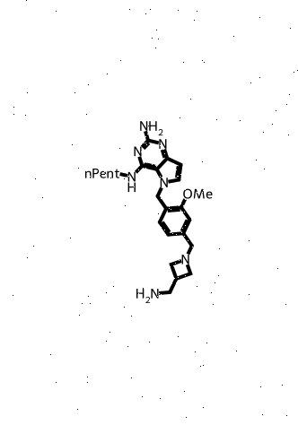 CCCCCNc1nc(N)nc2ccn(Cc3ccc(CN4CC(CN)C4)cc3OC)c12